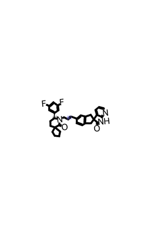 O=C1N(C/C=C/c2ccc3c(c2)CC2(C3)C(=O)Nc3ncccc32)[C@H](c2cc(F)cc(F)c2)CCC12CCCC2